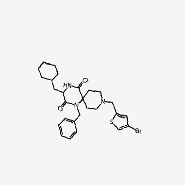 O=C1C(CC2CCCCC2)NC(=O)C2(CCN(Cc3cc(Br)cs3)CC2)N1Cc1ccccc1